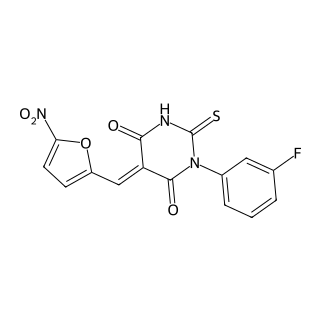 O=C1NC(=S)N(c2cccc(F)c2)C(=O)C1=Cc1ccc([N+](=O)[O-])o1